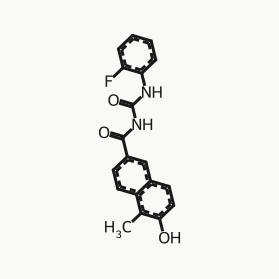 Cc1c(O)ccc2cc(C(=O)NC(=O)Nc3ccccc3F)ccc12